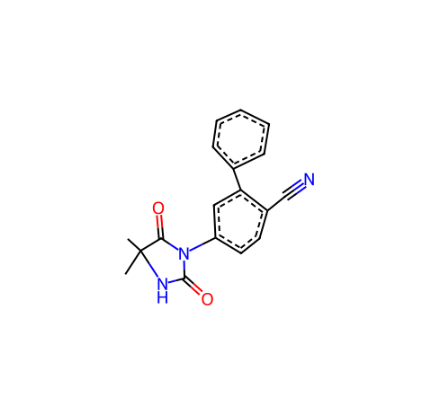 CC1(C)NC(=O)N(c2ccc(C#N)c(-c3ccccc3)c2)C1=O